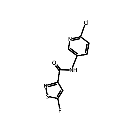 O=C(Nc1ccc(Cl)nc1)c1cc(F)sn1